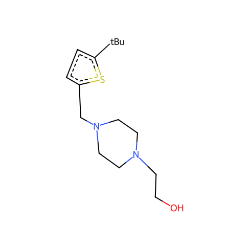 CC(C)(C)c1ccc(CN2CCN(CCO)CC2)s1